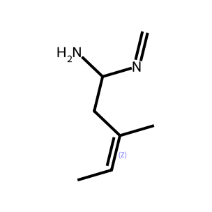 C=NC(N)C/C(C)=C\C